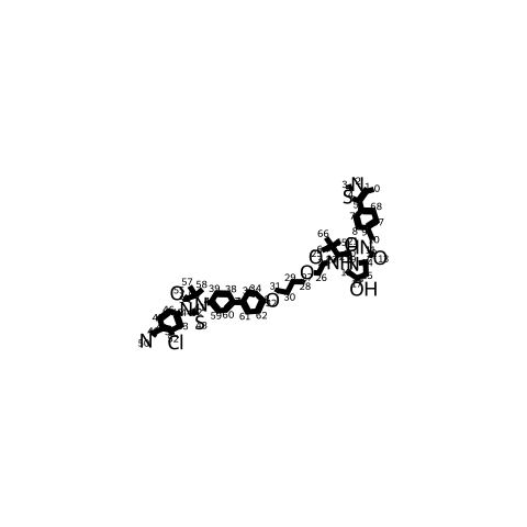 Cc1ncsc1-c1ccc(CNC(=O)[C@@H]2C[C@@H](O)CN2C(=O)[C@@H](NC(=O)COCCCCOc2ccc(-c3ccc(N4C(=S)N(c5ccc(C#N)c(Cl)c5)C(=O)C4(C)C)cc3)cc2)C(C)(C)C)cc1